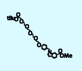 COC(=O)c1ccc2ccn(Cc3ccc(OCCOCCOCCOCCOCC(=O)OC(C)(C)C)cc3)c2c1